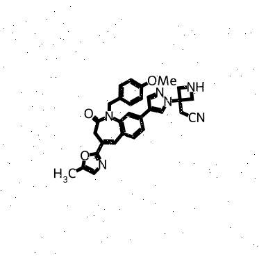 COc1ccc(CN2C(=O)CC(c3ncc(C)o3)=Cc3ccc(-c4cnn(C5(CC#N)CNC5)c4)cc32)cc1